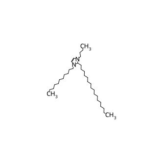 CCCCCCCCCCCCCCCCCC1N(CCCC)C=CN1CCCCCCCCCCC